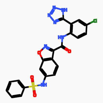 O=C(Nc1ccc(Cl)cc1-c1nnn[nH]1)c1noc2cc(NS(=O)(=O)c3ccccc3)ccc12